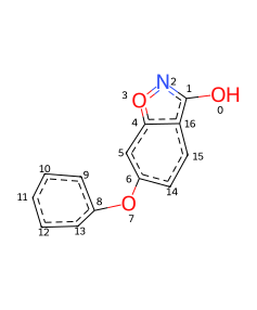 Oc1noc2cc(Oc3ccccc3)ccc12